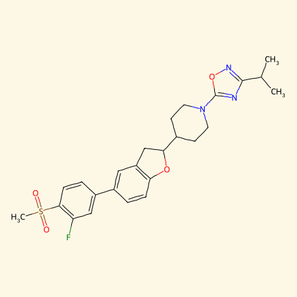 CC(C)c1noc(N2CCC(C3Cc4cc(-c5ccc(S(C)(=O)=O)c(F)c5)ccc4O3)CC2)n1